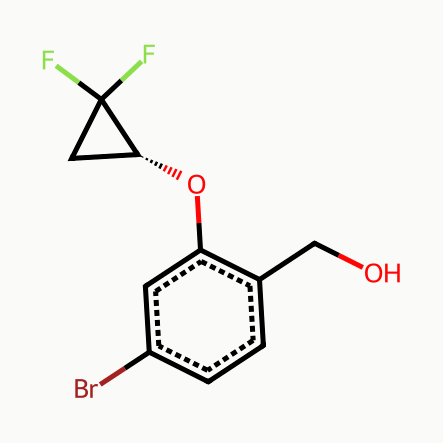 OCc1ccc(Br)cc1O[C@@H]1CC1(F)F